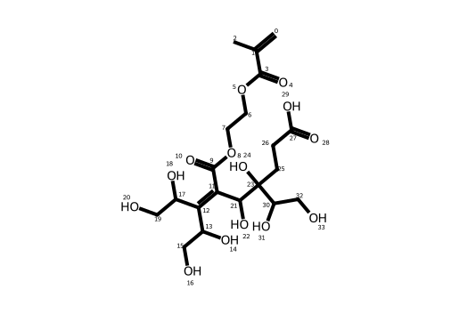 C=C(C)C(=O)OCCOC(=O)C(=C(C(O)CO)C(O)CO)C(O)C(O)(CCC(=O)O)C(O)CO